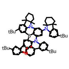 CC(C)(C)c1ccc(N2c3cc4oc5ccc(C(C)(C)C)cc5c4cc3B3c4cc(C(C)(C)C)cc5c4N(c4cc(N6c7ccc(C(C)(C)C)cc7C7(C)CCCCC67C)cc2c43)C2(C)CCCCC52C)c(-c2ccccc2)c1